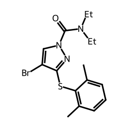 CCN(CC)C(=O)n1cc(Br)c(Sc2c(C)cccc2C)n1